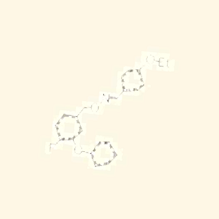 CCOc1ccc(C=NOCc2ccc(F)c(Oc3ccccc3)c2)cc1